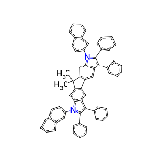 CC1(C)c2cc3c(cc2-c2cc4c(-c5ccccc5)c(-c5ccccc5)n(-c5ccc6ccccc6c5)c4cc21)c(-c1ccccc1)c(-c1ccccc1)n3-c1ccc2ccccc2c1